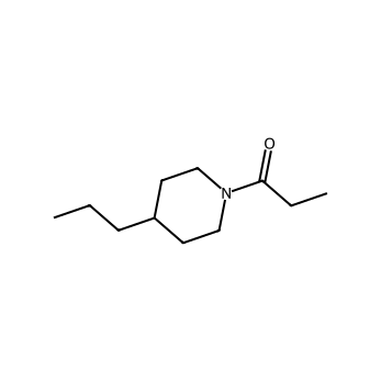 CCCC1CCN(C(=O)CC)CC1